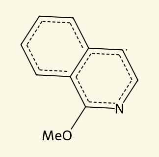 COc1nc[c]c2ccccc12